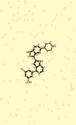 Oc1cc(F)cc(-c2nccc3[nH]c(-c4n[nH]c5ccc(C6CCNCC6)nc45)cc23)c1